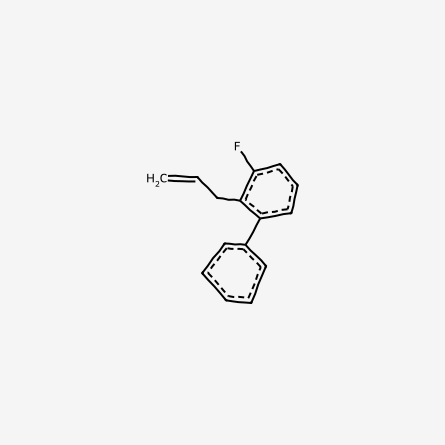 C=CCc1c(F)cccc1-c1ccccc1